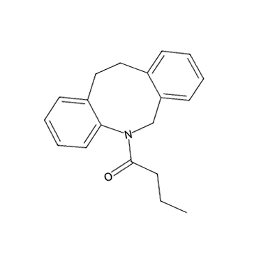 CCCC(=O)N1Cc2ccccc2CCc2ccccc21